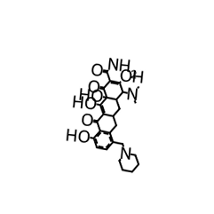 CN(C)C1C(O)=C(C(N)=O)C(=O)C2(O)C(O)=C3C(=O)c4c(O)ccc(CN5CCCCC5)c4CC3CC12